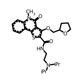 CC(C)N(CCNC(=O)c1sc2c(c1OCC1CCCO1)c(=O)n(C)c1ccccc21)C(C)C